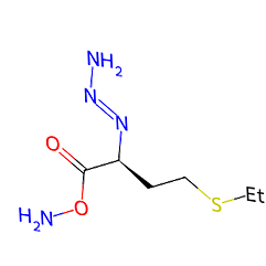 CCSCC[C@H](N=NN)C(=O)ON